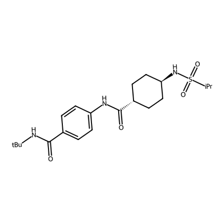 CC(C)S(=O)(=O)N[C@H]1CC[C@H](C(=O)Nc2ccc(C(=O)NC(C)(C)C)cc2)CC1